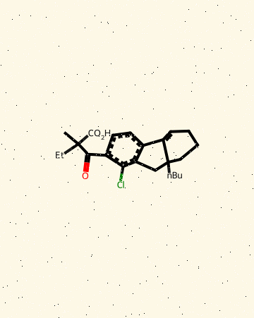 CCCCC12CCCC=C1c1ccc(C(=O)C(C)(CC)C(=O)O)c(Cl)c1C2